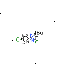 CC(C)(C)c1cc(Cl)nc(-c2ccc(Cl)cc2)n1